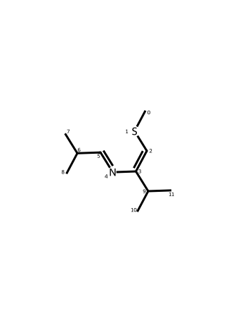 CS/C=C(\N=C\C(C)C)C(C)C